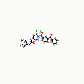 CN(C)Cc1cc2c(o1)CN(C(=O)c1cccc(C(=O)c3ccccc3)c1)CC2.Cl